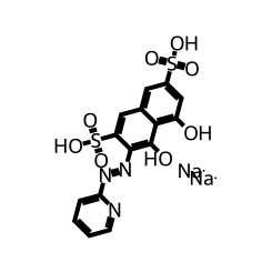 O=S(=O)(O)c1cc(O)c2c(O)c(N=Nc3ccccn3)c(S(=O)(=O)O)cc2c1.[Na].[Na]